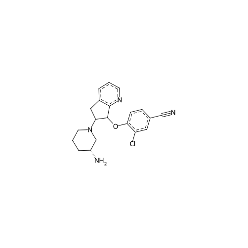 N#Cc1ccc(OC2c3ncccc3CC2N2CCC[C@@H](N)C2)c(Cl)c1